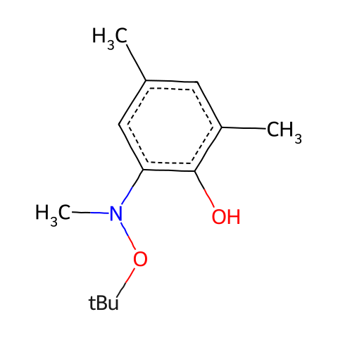 Cc1cc(C)c(O)c(N(C)OC(C)(C)C)c1